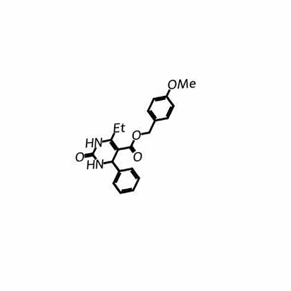 CCC1=C(C(=O)OCc2ccc(OC)cc2)C(c2ccccc2)NC(=O)N1